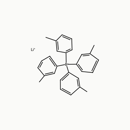 Cc1cccc([B-](c2cccc(C)c2)(c2cccc(C)c2)c2cccc(C)c2)c1.[Li+]